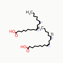 CCCCC/C=C\C/C=C\CCCCCCCC(=O)O.CCCCC/C=C\C/C=C\CCCCCCCC(=O)O.[Ti]